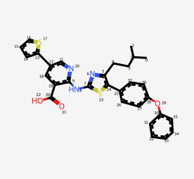 CC(C)CCc1nc(Nc2ncc(-c3cccs3)cc2C(=O)O)sc1-c1ccc(Oc2ccccc2)cc1